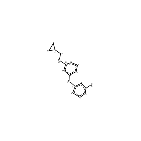 Brc1[c]ccc(Oc2cccc(OCC3CC3)c2)c1